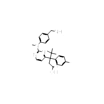 CN(c1ccc(CN)cc1)c1nccc(C(CC(=O)O)(c2ccc(F)cc2)C(C)(C)C)n1